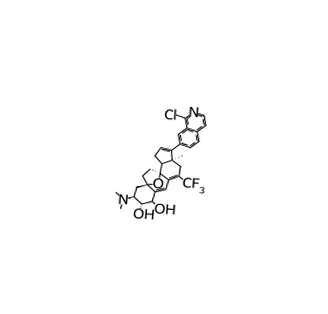 CN(C)[C@H]1C[C@@]23CC[C@@]4(O2)C(=C(C(F)(F)F)C[C@]2(C)C(c5ccc6ccnc(Cl)c6c5)=CCC24)C=C3[C@@H](O)[C@@H]1O